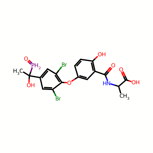 CC(NC(=O)c1cc(Oc2c(Br)cc(C(C)(O)[PH2]=O)cc2Br)ccc1O)C(=O)O